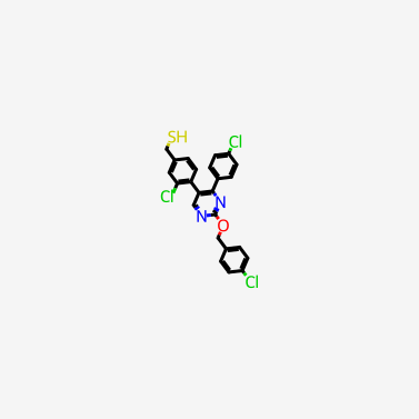 SCc1ccc(-c2cnc(OCc3ccc(Cl)cc3)nc2-c2ccc(Cl)cc2)c(Cl)c1